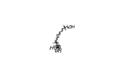 CC(C)(CCO)CCCCOCCCCC(C)(C)COP(=O)(O)O